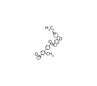 C=CCN1CCC2(CC1)COc1cc3c(cc12)N(C(=O)c1ccc(-c2ccc(N4CCCC4=O)cc2C)cc1)CC3